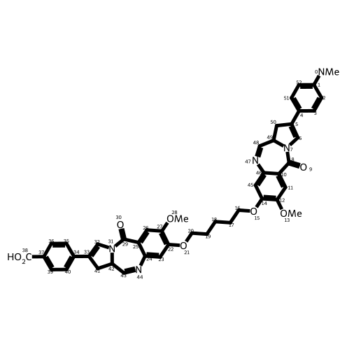 CNc1ccc(C2=CN3C(=O)c4cc(OC)c(OCCCCCOc5cc6c(cc5OC)C(=O)N5C=C(c7ccc(C(=O)O)cc7)CC5C=N6)cc4N=CC3C2)cc1